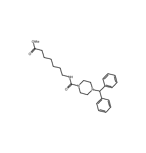 COC(=O)CCCCCCNC(=O)N1CCN(C(c2ccccc2)c2ccccc2)CC1